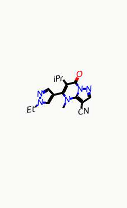 CCn1cc(-c2c(C(C)C)c(=O)n3ncc(C#N)c3n2C)cn1